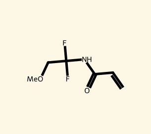 C=CC(=O)NC(F)(F)COC